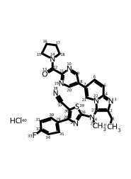 CCc1nc2ccc(-c3cnc(C(=O)N4CCCC4)nc3)cn2c1N(C)c1nc(-c2ccc(F)cc2)c(C#N)s1.Cl